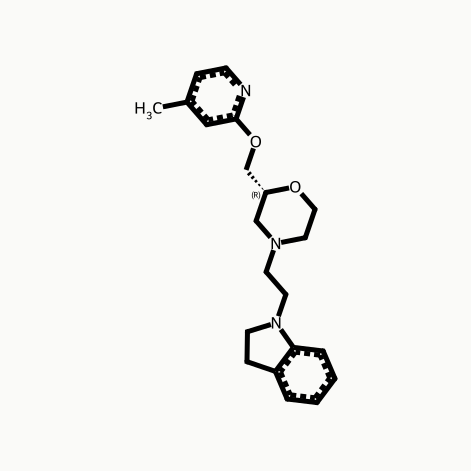 Cc1ccnc(OC[C@H]2CN(CCN3CCc4ccccc43)CCO2)c1